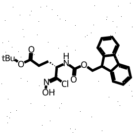 CC(C)(C)OC(=O)CC[C@H](NC(=O)OCC1c2ccccc2-c2ccccc21)C(Cl)=NO